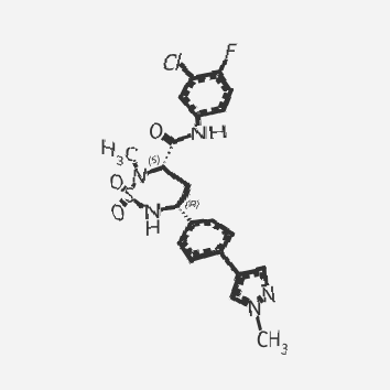 CN1[C@H](C(=O)Nc2ccc(F)c(Cl)c2)C[C@H](c2ccc(-c3cnn(C)c3)cc2)NS1(=O)=O